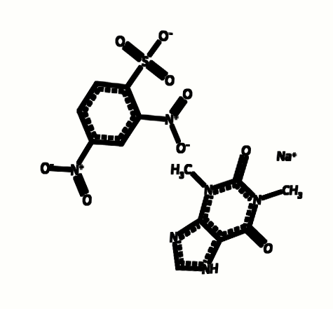 Cn1c(=O)c2[nH]cnc2n(C)c1=O.O=[N+]([O-])c1ccc(S(=O)(=O)[O-])c([N+](=O)[O-])c1.[Na+]